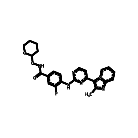 Cc1nc2ccccn2c1-c1ccnc(Nc2ccc(C(=O)NOC3CCCCO3)cc2F)n1